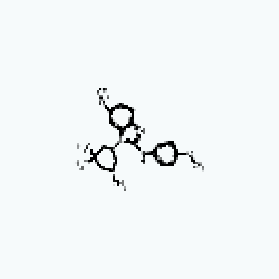 C[C@@H]1C[C@H](n2c(Nc3ccc(OC(F)(F)F)cc3)nc3ccc(OC(F)(F)F)cc32)CC(C)(C)C1